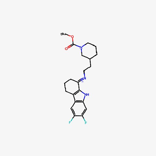 CC(C)(C)OC(=O)N1CCCC(CC/N=C2\CCCc3c2[nH]c2cc(F)c(F)cc32)C1